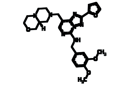 COc1ccc(CNc2ncc(CN3CCN4CCOC[C@H]4C3)c3nc(-c4ccco4)nn23)cc1OC